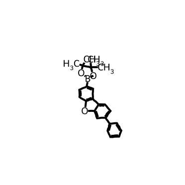 CC1(C)OB(c2ccc3oc4cc(-c5ccccc5)ccc4c3c2)OC1(C)C